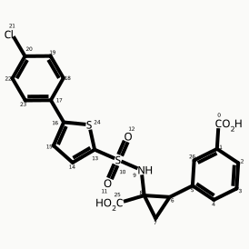 O=C(O)c1cccc(C2CC2(NS(=O)(=O)c2ccc(-c3ccc(Cl)cc3)s2)C(=O)O)c1